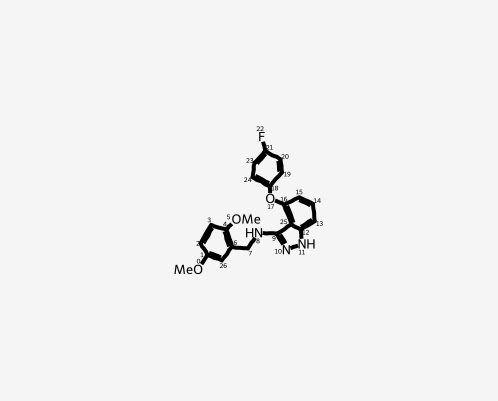 COc1ccc(OC)c(CNc2n[nH]c3cccc(Oc4ccc(F)cc4)c23)c1